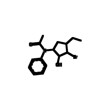 CCC1CC(N(C(C)=O)c2ccccc2)C(O)C1Br